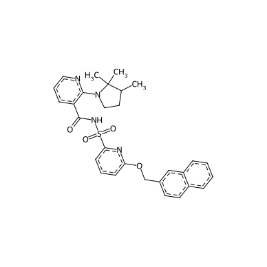 CC1CCN(c2ncccc2C(=O)NS(=O)(=O)c2cccc(OCc3ccc4ccccc4c3)n2)C1(C)C